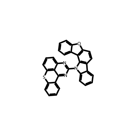 c1ccc2c(c1)Sc1cccc3nc(-n4c5ccccc5c5ccc6oc7ccccc7c6c54)nc-2c13